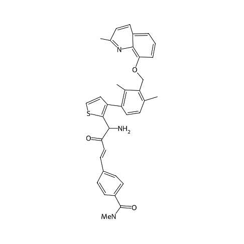 CNC(=O)c1ccc(/C=C/C(=O)C(N)c2sccc2-c2ccc(C)c(COc3cccc4ccc(C)nc34)c2C)cc1